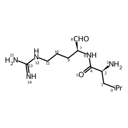 CC(C)C[C@H](N)C(=O)N[C@H](C=O)CCCNC(=N)N